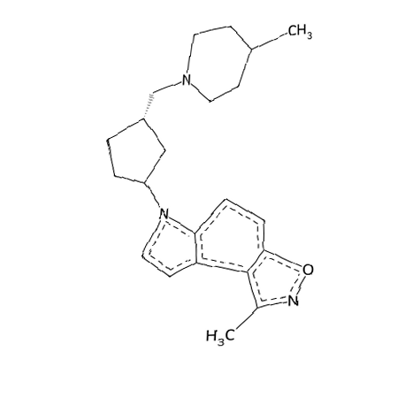 Cc1noc2ccc3c(ccn3C3CC[C@H](CN4CCC(C)CC4)C3)c12